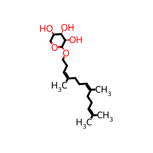 CC(C)=CCCC(C)=CCCC(C)=CCCO[C@H]1OC[C@@H](O)[C@H](O)[C@H]1O